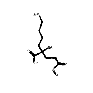 CCCCCCCCCCCCCCC(N)(CCC(=O)ON)C(=O)CCC